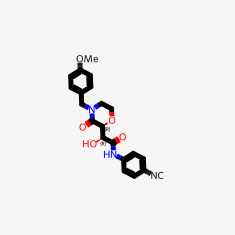 [C-]#[N+]c1ccc(NC(=O)[C@H](O)[C@H]2OCCN(Cc3ccc(OC)cc3)C2=O)cc1